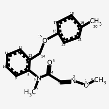 CON=CC(=O)N(C)c1ccccc1COc1ccc(C)cc1